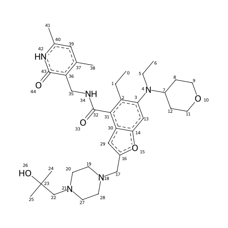 CCc1c(N(CC)C2CCOCC2)cc2oc(CN3CCN(CC(C)(C)O)CC3)cc2c1C(=O)NCc1c(C)cc(C)[nH]c1=O